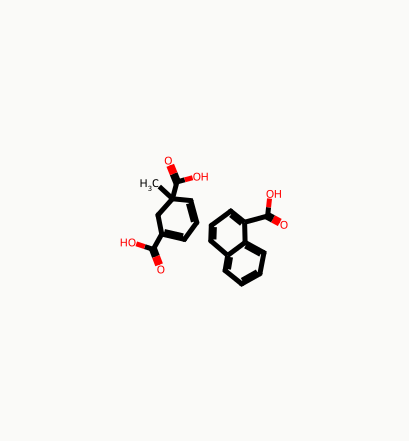 CC1(C(=O)O)C=CC=C(C(=O)O)C1.O=C(O)c1cccc2ccccc12